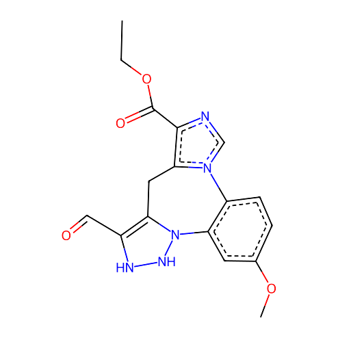 CCOC(=O)c1ncn2c1CC1=C(C=O)NNN1c1cc(OC)ccc1-2